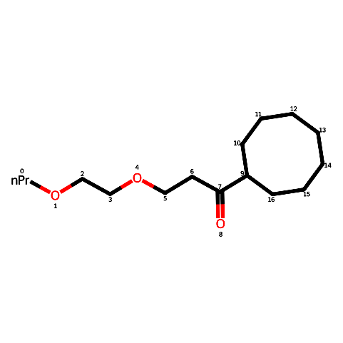 CCCOCCOCCC(=O)C1CCCCCCC1